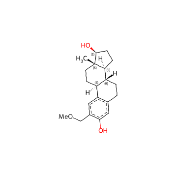 COCc1cc2c(cc1O)CC[C@@H]1[C@@H]2CC[C@]2(C)[C@@H](O)CC[C@@H]12